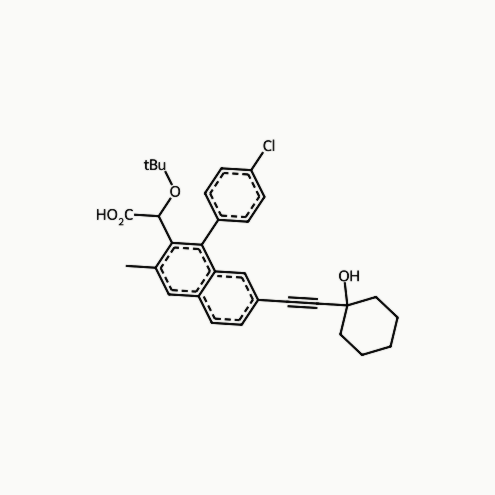 Cc1cc2ccc(C#CC3(O)CCCCC3)cc2c(-c2ccc(Cl)cc2)c1C(OC(C)(C)C)C(=O)O